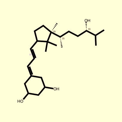 CC(C)[C@@H](O)CC[C@H](C)[C@]1(C)CCC(/C=C/C=C2CC(O)CC(O)C2)C1(C)C